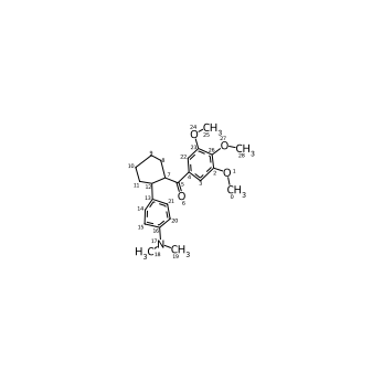 COc1cc(C(=O)C2CCCCC2c2ccc(N(C)C)cc2)cc(OC)c1OC